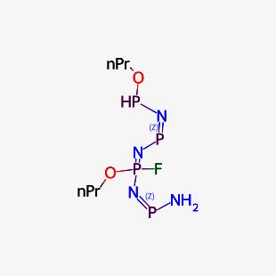 CCCOP/N=P\N=P(F)(/N=P\N)OCCC